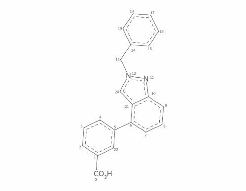 O=C(O)c1cccc(-c2cccc3nn(Cc4ccccc4)cc23)c1